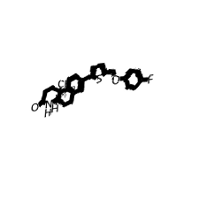 C[C@]12CCC(=O)N[C@@H]1CCc1cc(-c3ccc(COc4ccc(F)cc4)s3)ccc12